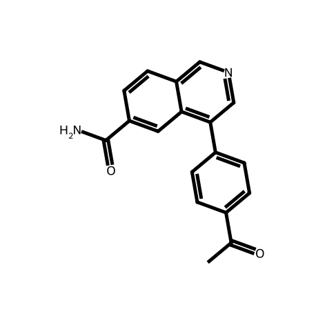 CC(=O)c1ccc(-c2cncc3ccc(C(N)=O)cc23)cc1